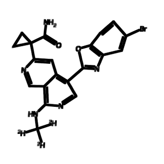 [2H]C([2H])([2H])Nc1ncc(-c2nc3cc(Br)ccc3o2)c2cc(C3(C(N)=O)CC3)ncc12